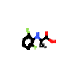 CC(Nc1c(F)cccc1F)C(=O)O